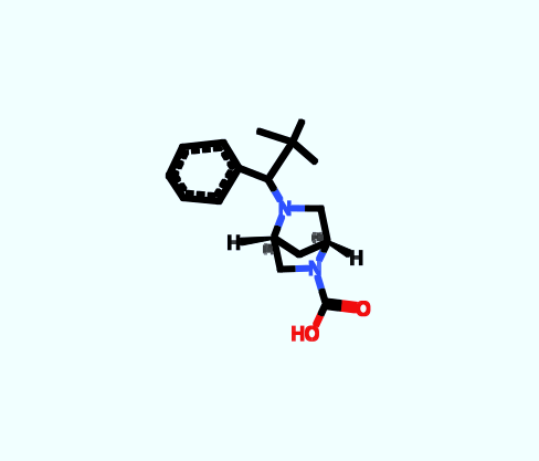 CC(C)(C)C(c1ccccc1)N1C[C@H]2C[C@@H]1CN2C(=O)O